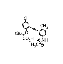 Cc1ccc(NS(C)(=O)=O)cc1C#Cc1cc(Cl)ccc1OC(C(=O)O)C(C)(C)C